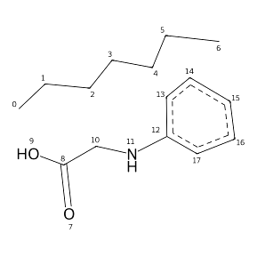 CCCCCCC.O=C(O)CNc1ccccc1